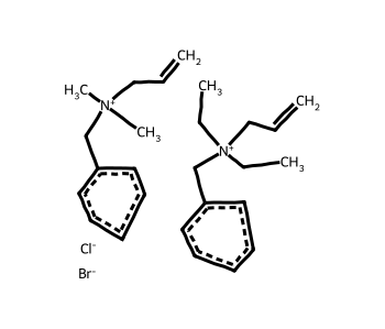 C=CC[N+](C)(C)Cc1ccccc1.C=CC[N+](CC)(CC)Cc1ccccc1.[Br-].[Cl-]